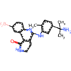 Bc1ccc2nc(Nc3cc(C(C)(C)N)ccc3C)c3cc[nH]c(=O)c3c2c1